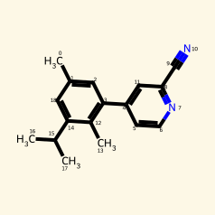 Cc1cc(-c2ccnc(C#N)c2)c(C)c(C(C)C)c1